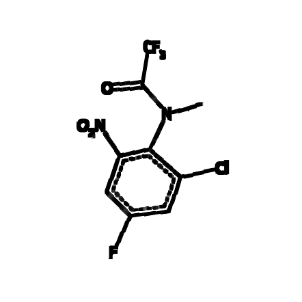 CN(C(=O)C(F)(F)F)c1c(Cl)cc(F)cc1[N+](=O)[O-]